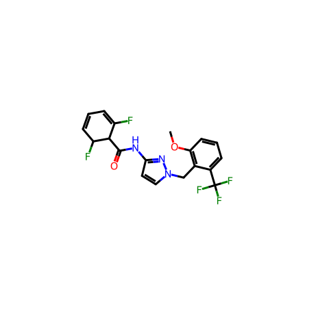 COc1cccc(C(F)(F)F)c1Cn1ccc(NC(=O)C2C(F)=CC=CC2F)n1